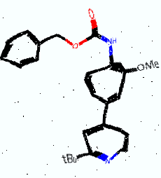 COc1cc(C2=CC(C(C)(C)C)=NCC2)ccc1NC(=O)OCc1ccccc1